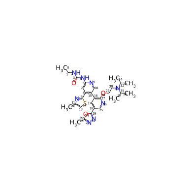 CCNC(=O)Nc1cc(-c2nc(C)cs2)c(-c2cc(-c3nnc(C)o3)cnc2OCCN(C(C)C)C(C)C)cn1